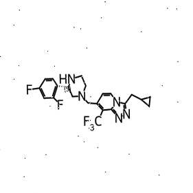 Fc1ccc([C@H]2CN(Cc3ccn4c(CC5CC5)nnc4c3C(F)(F)F)CCN2)c(F)c1